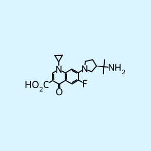 CC(C)(N)[C@@H]1CCN(c2cc3c(cc2F)c(=O)c(C(=O)O)cn3C2CC2)C1